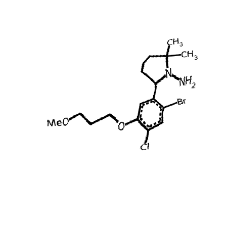 COCCCOc1cc(C2CCC(C)(C)N2N)c(Br)cc1Cl